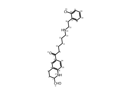 O=CC1CCc2cc(C(=O)CCCCCNCCc3ccccc3Cl)ccc2N1